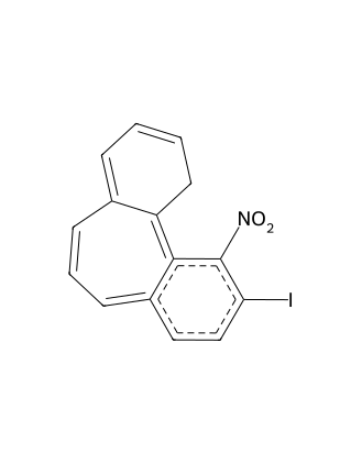 O=[N+]([O-])c1c(I)ccc2c1=C1CC=CC=C1C=CC=2